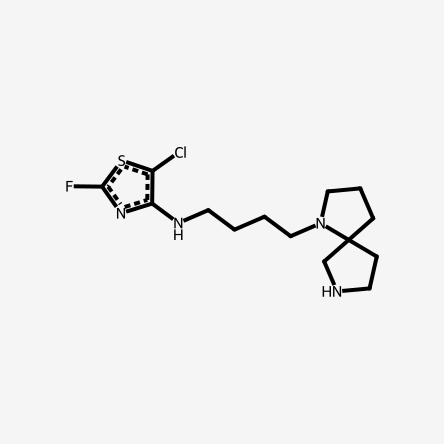 Fc1nc(NCCCCN2CCCC23CCNC3)c(Cl)s1